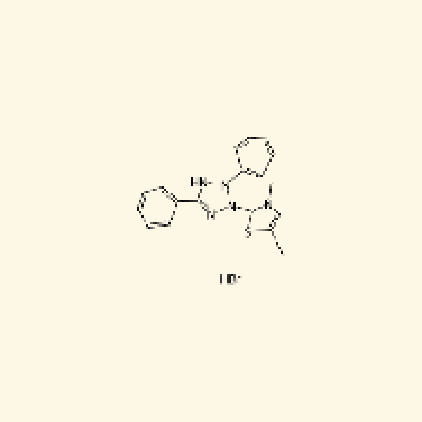 Br.CC1=CN(C)C(N2N=C(c3ccccc3)NN2c2ccccc2)S1